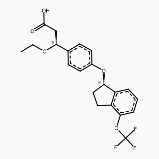 CCO[C@@H](CC(=O)O)c1ccc(O[C@@H]2CCc3c(OC(F)(F)F)cccc32)cc1